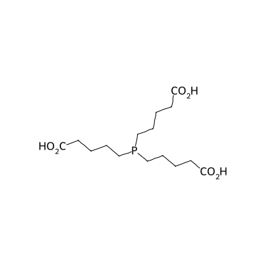 O=C(O)CCCCP(CCCCC(=O)O)CCCCC(=O)O